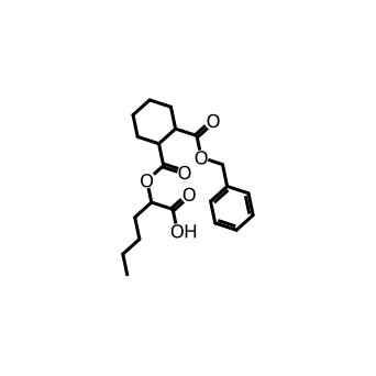 CCCCC(OC(=O)C1CCCCC1C(=O)OCc1ccccc1)C(=O)O